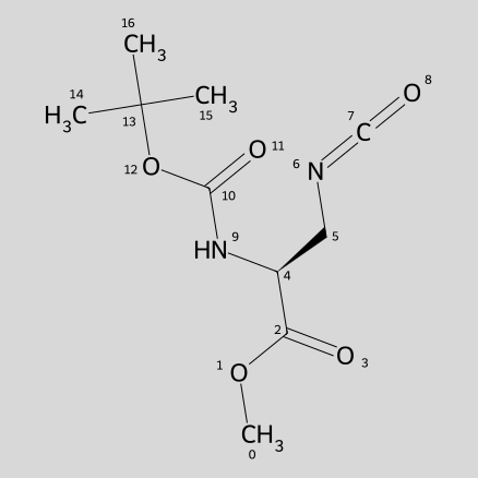 COC(=O)[C@H](CN=C=O)NC(=O)OC(C)(C)C